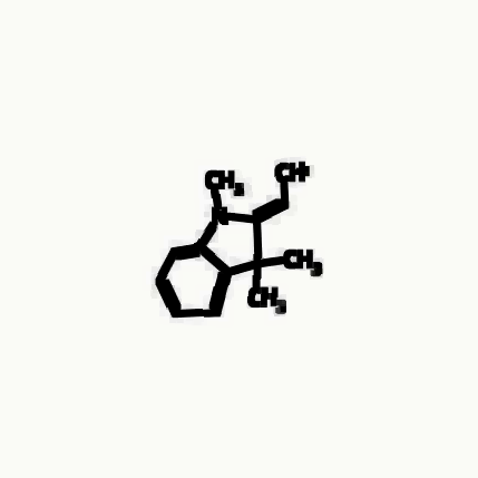 [CH]C=C1N(C)c2ccccc2C1(C)C